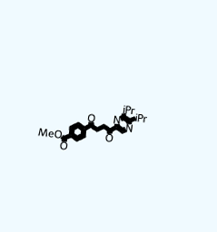 COC(=O)c1ccc(C(=O)CCC(=O)c2cnc(C(C)C)c(C(C)C)n2)cc1